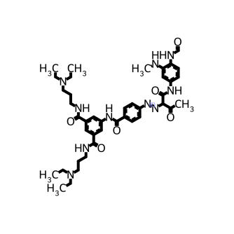 CCN(CC)CCCNC(=O)c1cc(NC(=O)c2ccc(/N=N/C(C(C)=O)C(=O)Nc3ccc(NC=O)c(NC)c3)cc2)cc(C(=O)NCCCN(CC)CC)c1